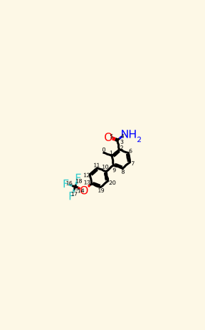 Cc1c(C(N)=O)cccc1-c1ccc(OC(F)(F)F)cc1